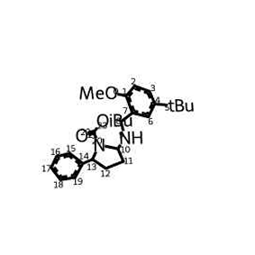 COc1ccc(C(C)(C)C)cc1CNC1CCC(c2ccccc2)N1C(=O)OCC(C)C